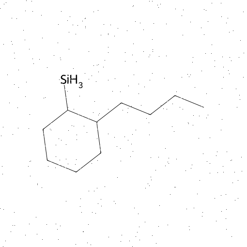 CCCCC1CCCCC1[SiH3]